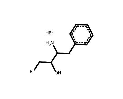 Br.NC(Cc1ccccc1)C(O)CBr